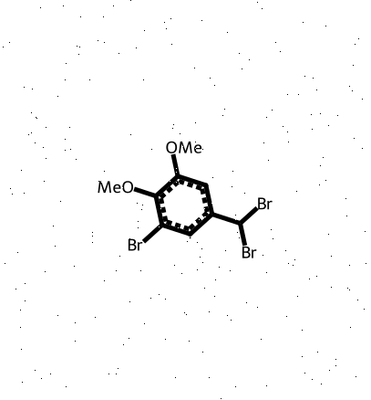 COc1cc(C(Br)Br)[c]c(Br)c1OC